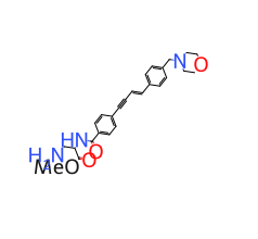 COC(=O)C(CN)NC(=O)c1ccc(C#CC=Cc2ccc(CN3CCOCC3)cc2)cc1